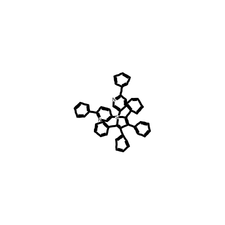 c1ccc(C2=C(c3ccccc3)[Si](c3ccc(-c4ccccc4)nc3)(c3ccc(-c4ccccc4)nc3)C(c3ccccc3)=C2c2ccccc2)cc1